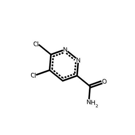 NC(=O)c1cc(Cl)c(Cl)nn1